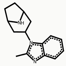 Cc1nc2ccccc2n1C1CC2CCC(C1)N2